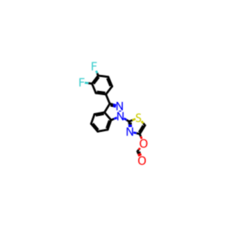 O=COc1csc(-n2nc(-c3ccc(F)c(F)c3)c3ccccc32)n1